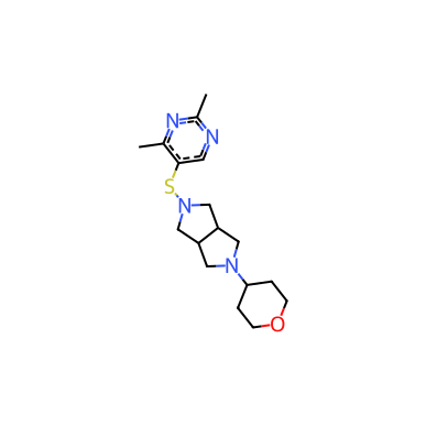 Cc1ncc(SN2CC3CN(C4CCOCC4)CC3C2)c(C)n1